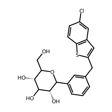 OCC1OC(c2cccc(Cc3cc4cc(Cl)ccc4s3)c2)[C@H](O)C(O)[C@@H]1O